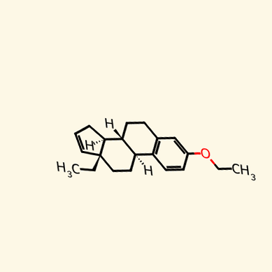 CCOc1ccc2c(c1)CC[C@@H]1[C@@H]2CC[C@]2(CC)C=CC[C@@H]12